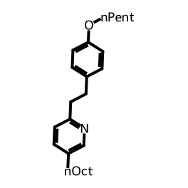 CCCCCCCCc1ccc(CCc2ccc(OCCCCC)cc2)nc1